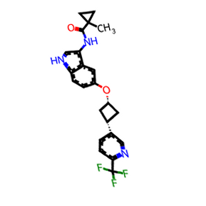 CC1(C(=O)Nc2c[nH]c3ccc(O[C@H]4C[C@@H](c5ccc(C(F)(F)F)nc5)C4)cc23)CC1